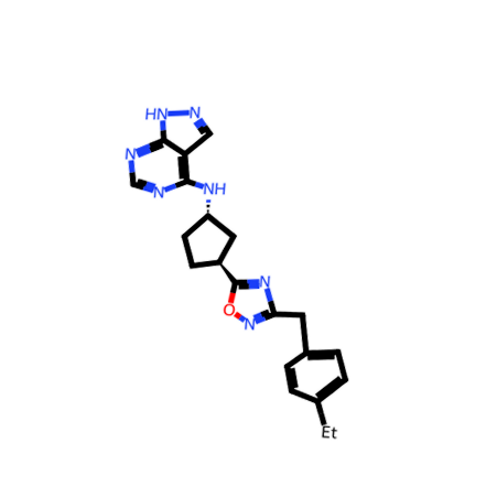 CCc1ccc(Cc2noc([C@H]3CC[C@H](Nc4ncnc5[nH]ncc45)C3)n2)cc1